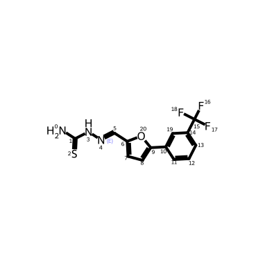 NC(=S)N/N=C/c1ccc(-c2cccc(C(F)(F)F)c2)o1